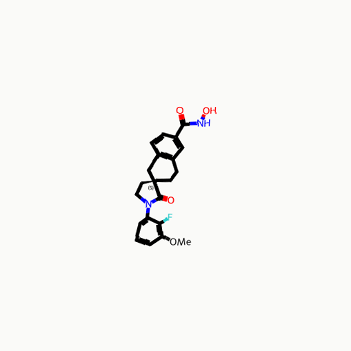 COc1cccc(N2CC[C@@]3(CCc4cc(C(=O)NO)ccc4C3)C2=O)c1F